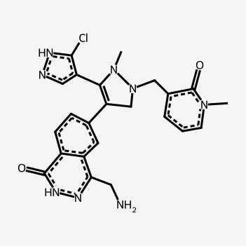 CN1C(c2cn[nH]c2Cl)=C(c2ccc3c(=O)[nH]nc(CN)c3c2)CN1Cc1cccn(C)c1=O